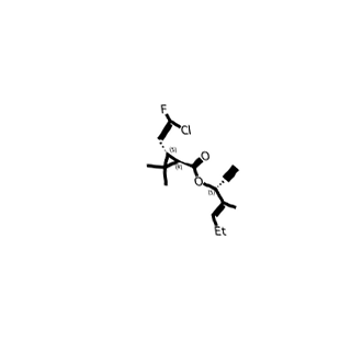 C#C[C@@H](OC(=O)[C@@H]1[C@@H](C=C(F)Cl)C1(C)C)C(C)=CCC